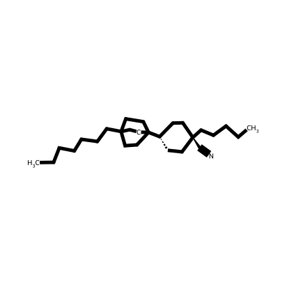 CCCCCCCC12CCC([C@H]3CC[C@@](C#N)(CCCCC)CC3)(CC1)CC2